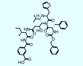 CC[C@H](C)[C@H](NC(=O)C[C@H](O)[C@H](CC(C)C)N(C(=O)[C@H](Cc1ccccc1)NC(=O)OCc1ccccc1)C(=O)[C@@H](N)Cc1cccs1)C(=O)NC(=O)c1cccc(C(=O)O)c1